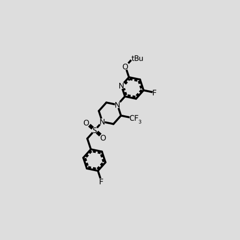 CC(C)(C)Oc1cc(F)cc(N2CCN(S(=O)(=O)Cc3ccc(F)cc3)CC2C(F)(F)F)n1